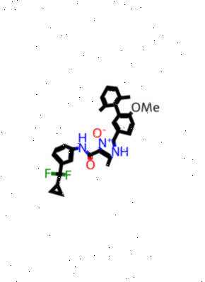 COc1ccc(-c2[nH]c(C)c(C(=O)Nc3cccc(C(F)(F)C4CC4)c3)[n+]2[O-])cc1-c1c(C)cccc1C